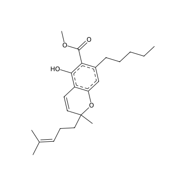 CCCCCc1cc2c(c(O)c1C(=O)OC)C=CC(C)(CCC=C(C)C)O2